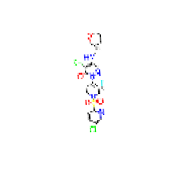 O=c1c(Cl)c(NC[C@H]2CCCOC2)cnn1[C@@H]1CCN(S(=O)(=O)c2ccc(Cl)cn2)C[C@H]1F